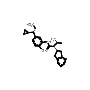 C[C@H]([C@@H](C(=O)Nc1cc([C@@H](CC(=O)O)C2CC2)ccc1Cl)C1Cc2ccccc2C1)C(F)(F)F